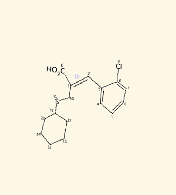 O=C(O)/C(=C/c1ccccc1Cl)CSC1CCCCC1